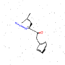 CC(C)C[C@H](N=[N+]=[N-])C(=O)Cc1ccccc1